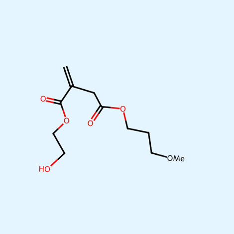 C=C(CC(=O)OCCCOC)C(=O)OCCO